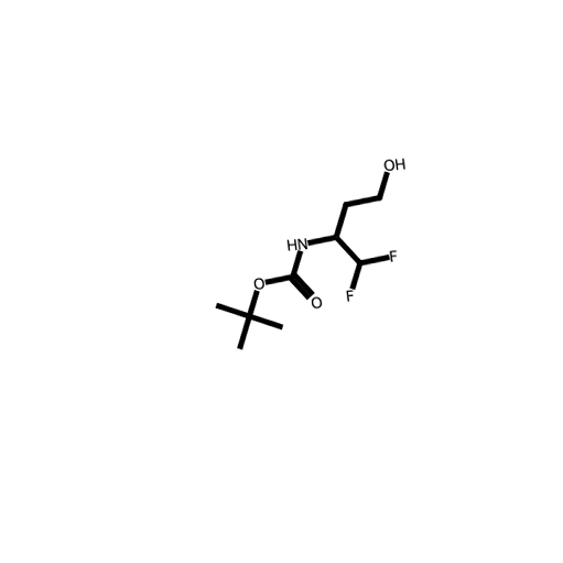 CC(C)(C)OC(=O)NC(CCO)C(F)F